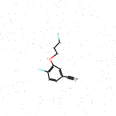 C#Cc1ccc(F)c(OCCCF)c1